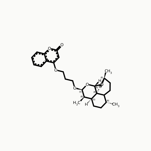 C[C@H]1[C@@H](OCCCOc2cc(=O)oc3ccccc23)O[C@@H]2O[C@@]3(C)CCC4[C@H](C)CC[C@@H]1[C@]42OO3